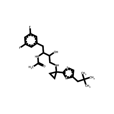 CC(=O)NC(Cc1cc(F)cc(F)c1)C(O)CNC1(c2nc(CC(C)(C)C)cs2)CC1